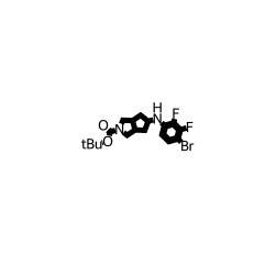 CC(C)(C)OC(=O)N1CC2CC(Nc3ccc(Br)c(F)c3F)CC2C1